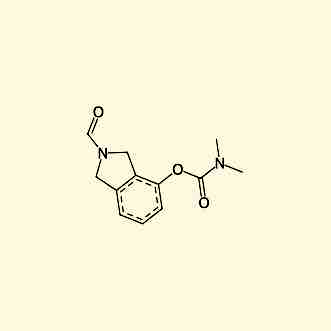 CN(C)C(=O)Oc1cccc2c1CN(C=O)C2